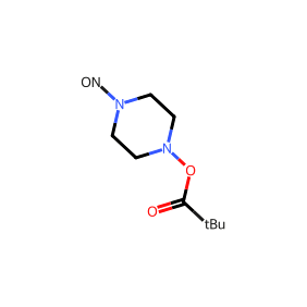 CC(C)(C)C(=O)ON1CCN(N=O)CC1